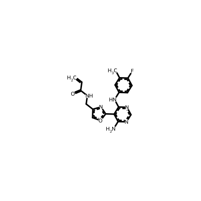 C=CC(=O)NCc1coc(-c2c(N)ncnc2Nc2ccc(F)c(C)c2)n1